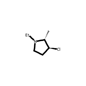 CCN1CC[C@H](Cl)[C@H]1C